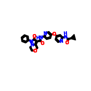 O=C(Nc1ccc(Oc2ccnc(NC(=O)C3CC3)c2)cn1)c1c2n(n(-c3ccccc3)c1=O)CCOC2